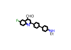 CCNc1ccc(-c2ccc(-c3cc(C=O)c4cc(F)ccc4n3)cc2)cc1